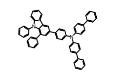 c1ccc(-c2ccc(N(c3ccc(-c4ccccc4)cc3)c3ccc(-c4cc(-c5ccccc5)c5c(c4)c4ccccc4n5-c4ccccc4)cc3)cc2)cc1